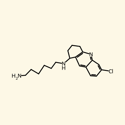 NCCCCCCNC1CCCc2nc3cc(Cl)ccc3cc21